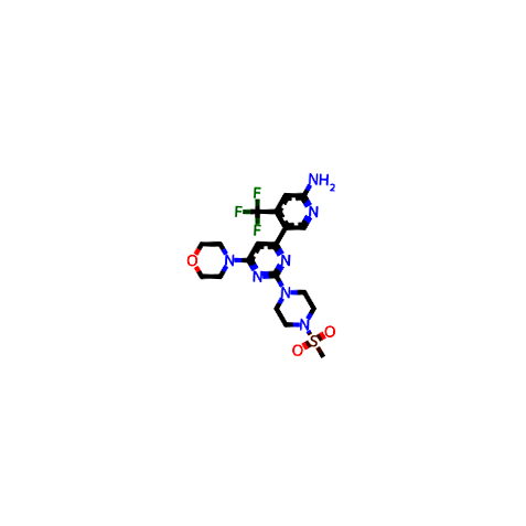 CS(=O)(=O)N1CCN(c2nc(-c3cnc(N)cc3C(F)(F)F)cc(N3CCOCC3)n2)CC1